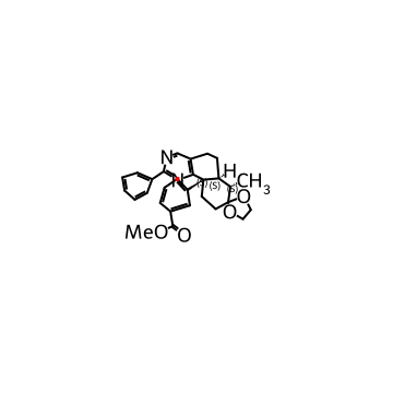 COC(=O)c1cccc([C@]23CCC4(OCCO4)[C@@H](C)[C@@H]2CCc2cnc(-c4ccccc4)nc23)c1